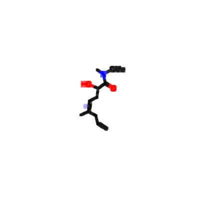 C=CC/C(C)=C\CC(O)C(=O)N(C)OC